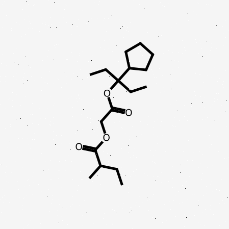 CCC(C)C(=O)OCC(=O)OC(CC)(CC)C1CCCC1